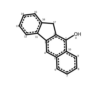 Oc1c2c(cc3ccccc13)-c1ccccc1C2